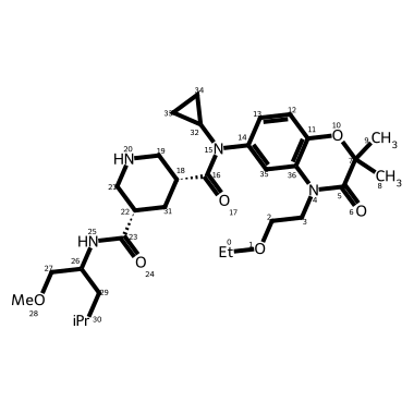 CCOCCN1C(=O)C(C)(C)Oc2ccc(N(C(=O)[C@H]3CNC[C@@H](C(=O)NC(COC)CC(C)C)C3)C3CC3)cc21